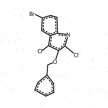 Clc1nc2ccc(Br)cc2c(Cl)c1OCc1ccccc1